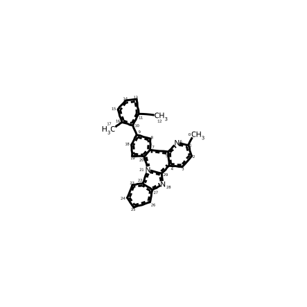 Cc1ccc2c(n1)c1cc(-c3c(C)cccc3C)ccc1n1c3ccccc3nc21